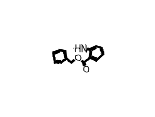 [NH]c1ccccc1C(=O)OCc1ccccc1